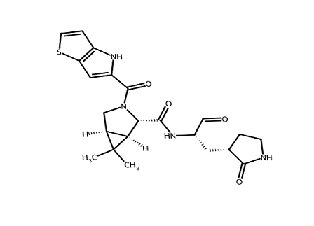 CC1(C)[C@@H]2[C@@H](C(=O)N[C@H](C=O)C[C@@H]3CCNC3=O)N(C(=O)c3cc4sccc4[nH]3)C[C@@H]21